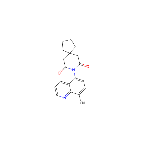 N#Cc1ccc(N2C(=O)CC3(CCCC3)CC2=O)c2cccnc12